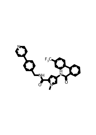 Cn1cc(NC(=O)c2ccccc2-c2ccc(C(F)(F)F)cc2)cc1C(=O)NCc1ccc(-c2ccncc2)cc1